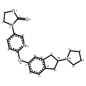 O=C1OCCN1c1ccc(Oc2ccc3c(c2)CC(N2CCCC2)C3)nc1